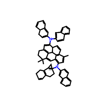 Cc1cc(N(c2ccc3ccccc3c2)C23CCC4=C(CCC=C4)[C@@H]2C3)c2c3c1C=CC1C(N(C4=CCC5C=CC=CC5=C4)c4ccc5ccccc5c4)=CC4=C(C(=C2)C(C)(C)CC4)C31